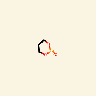 O=[PH]1OCCCO1